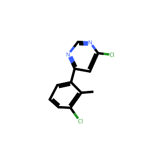 Cc1c(Cl)cccc1-c1cc(Cl)ncn1